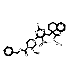 COC(=O)C1(Cc2nc(Cl)nc(N3CCN(C(=O)OCc4ccccc4)[C@@H](CF)C3)c2[N+](=O)[O-])CCCc2ccccc21